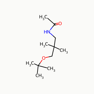 CC(=O)NCC(C)(C)COC(C)(C)C